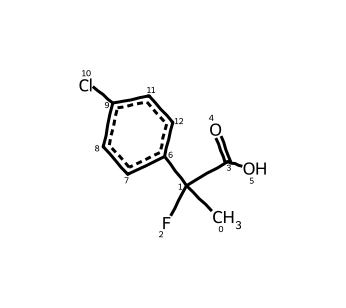 CC(F)(C(=O)O)c1ccc(Cl)cc1